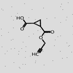 C#CCOC(=O)C1CC1C(=O)O